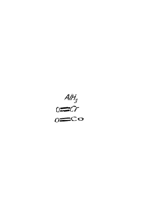 [AlH3].[O]=[Co].[O]=[Cr]